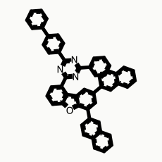 c1ccc(-c2ccc(-c3nc(-c4ccccc4)nc(-c4cccc5oc6c(-c7ccc8ccccc8c7)cc(-c7ccc8ccccc8c7)cc6c45)n3)cc2)cc1